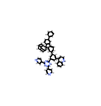 c1ccc(-c2ccc3c(c2)-c2ccc(-c4cc(-c5nc(-c6ccncc6)nc(-c6ccncc6)n5)cc(-c5ccnc6ccccc56)c4)cc2C32C3CC4CC(C3)CC2C4)cc1